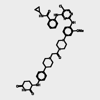 COc1cc(N2CCN(C(=O)CN3CCC(c4ccc(NC5CCC(=O)NC5=O)cc4)CC3)CC2)ccc1Nc1ncc(Cl)c(Nc2ccccc2C(=O)NC2CC2)n1